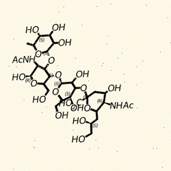 CC(=O)NC1C(O[C@@H]2OC(C)[C@@H](O)C(O)C2O)[C@H](O[C@@H]2OC(CO)[C@H](O)C(O[C@]3(C(=O)O)CC(O)[C@@H](NC(C)=O)C(C[C@H](O)CO)O3)C2O)C(CO)O[C@H]1O